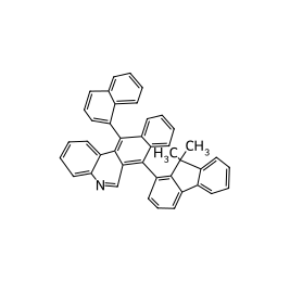 CC1(C)c2ccccc2-c2cccc(-c3c4ccccc4c(-c4cccc5ccccc45)c4c3cnc3ccccc34)c21